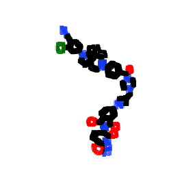 CC1N(c2ccc(C#N)c(Cl)c2)CCC12CCN(c1ccc(C(=O)N3CCN(CC4CN(c5ccc6c(c5)C(=O)N(C5CCC(=O)NC5=O)C6=O)C4)CC3)cc1)CC2